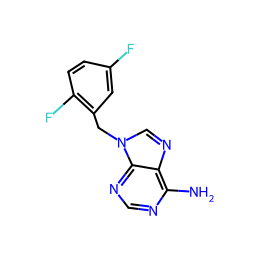 Nc1ncnc2c1ncn2Cc1cc(F)ccc1F